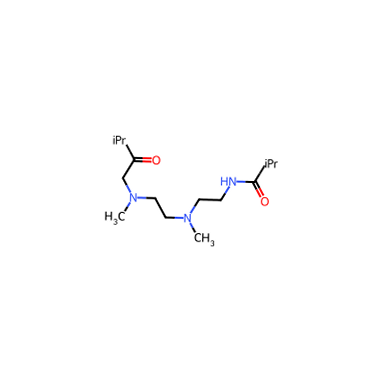 CC(C)C(=O)CN(C)CCN(C)CCNC(=O)C(C)C